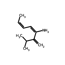 C=C(/C(N)=C\C=C/C)C(C)C